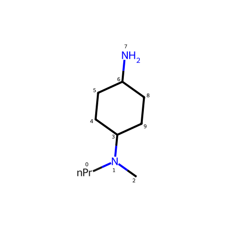 CCCN(C)C1CCC(N)CC1